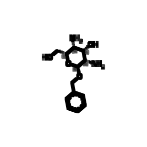 N[C@@H]1[C@@H](OCc2ccccc2)O[C@H](CO)[C@H](N)[C@@H]1O